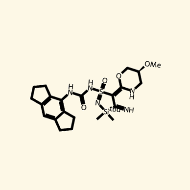 CO[C@H]1CN/C(=C(\C=N)S(=O)(=N[Si](C)(C)C(C)(C)C)NC(=O)Nc2c3c(cc4c2CCC4)CCC3)OC1